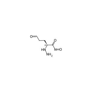 NN[C@@H](CCC=O)C(=O)N=O